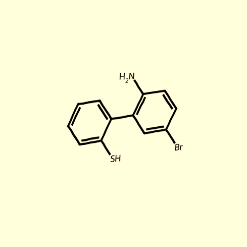 Nc1ccc(Br)cc1-c1ccccc1S